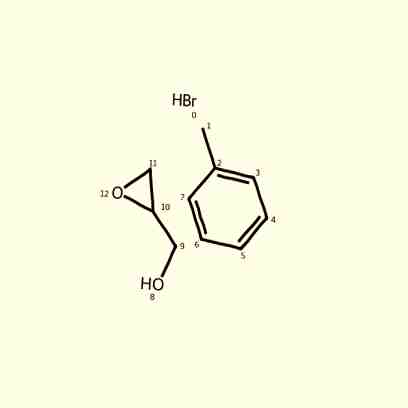 Br.Cc1ccccc1.OCC1CO1